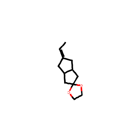 CC=C1CC2CC3(CC2C1)OCCO3